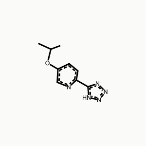 CC(C)Oc1ccc(-c2nnn[nH]2)nc1